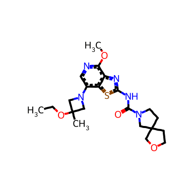 CCOC1(C)CN(c2cnc(OC)c3nc(NC(=O)N4CCC5(CCOC5)C4)sc23)C1